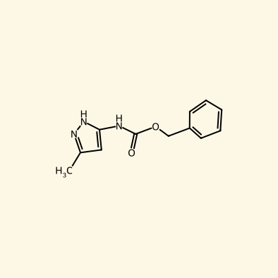 Cc1cc(NC(=O)OCc2ccccc2)[nH]n1